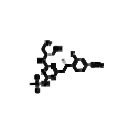 COc1ccc([C@@H](C)Cc2nc(N[C@@H](CO)CC(C)C)nc(NS(C)(=O)=O)n2)c(F)c1